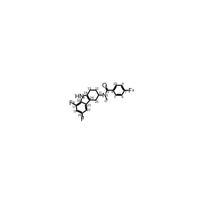 CN(C(=O)c1ccc(F)cc1)C1CCc2[nH]c3c(F)cc(F)cc3c2C1